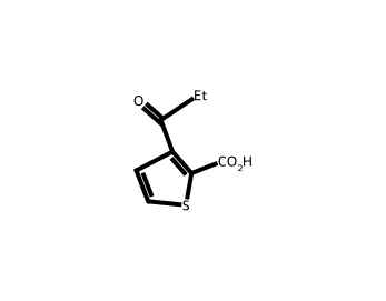 CCC(=O)c1ccsc1C(=O)O